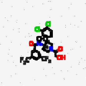 CN(C(=O)c1cc(C(F)(F)F)cc(C(F)(F)F)c1)[C@@H]1CCN(C(=O)CO)C[C@H]1c1ccc(Cl)c(Cl)c1